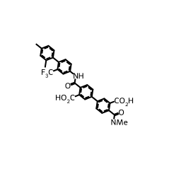 CNC(=O)c1ccc(-c2ccc(C(=O)Nc3ccc(-c4ccc(C)cc4C)c(C(F)(F)F)c3)c(C(=O)O)c2)cc1C(=O)O